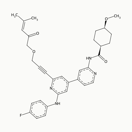 CO[C@H]1CC[C@@H](C(=O)Nc2cc(-c3cc(C#CCOCC(=O)C=C(C)C)nc(Nc4ccc(F)cc4)c3)ccn2)CC1